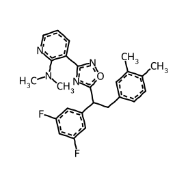 Cc1ccc(CC(c2cc(F)cc(F)c2)c2nc(-c3cccnc3N(C)C)no2)cc1C